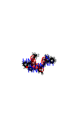 CCCC(NC(=O)[C@@H]1CCC(C)N1C(=O)[C@@H](NC(=O)OCC(C)C)C1CCCCC1)C(=O)C(=O)NCC(=O)N[C@H](C(=O)N(C)C)c1ccccc1